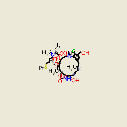 C/C1=C\C=C\[C@@H](CO)[C@@]2(O)C[C@H](OC(=O)N2)[C@@H](C)[C@@H]2O[C@@]2(C)[C@@H](OC(=O)[C@H](C)N(C)C(=O)CCCSC(C)C)CC(=O)N(C)c2cc(cc(CO)c2Cl)C1